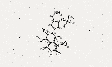 COC1=c2c(=O)[nH]c(=O)n(C3CC3)c2=C(C)C(N2CC(CN)C(OC(F)(F)F)C2)C1F